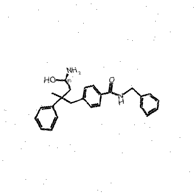 CC(Cc1ccc(C(=O)NCc2ccccc2)cc1)(C[C@H](N)O)c1ccccc1